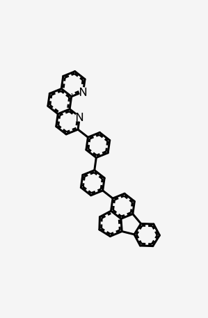 c1cc(-c2cccc(-c3ccc4c5c(cccc35)-c3ccccc3-4)c2)cc(-c2ccc3ccc4cccnc4c3n2)c1